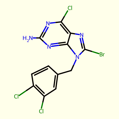 Nc1nc(Cl)c2nc(Br)n(Cc3ccc(Cl)c(Cl)c3)c2n1